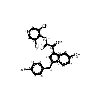 O=C(Nc1c(Cl)cncc1Cl)C(=O)c1cc(Cc2ccc(F)cc2)n2ccc(O)cc12